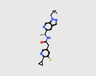 C[C@@H](NC(=O)Cc1cnc(C2CC2)c(F)c1)c1cc2cnn(CC(F)(F)F)c2cn1